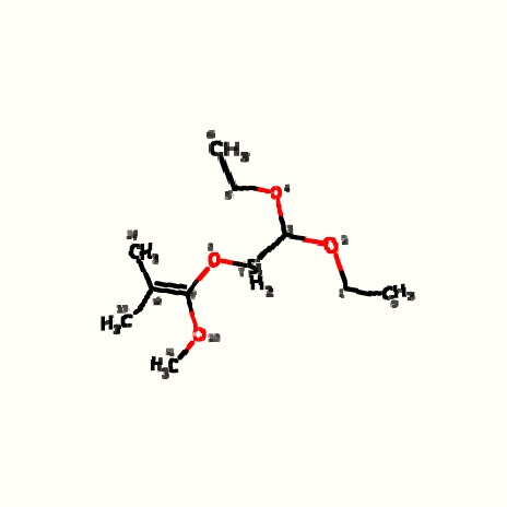 CCOC(OCC)[SiH2]OC(OC)=C(C)C